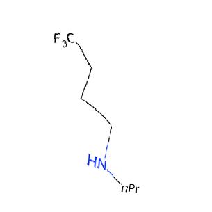 CCCNCCCC(F)(F)F